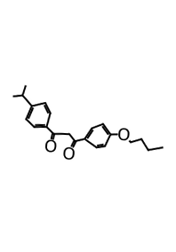 CCCCOc1ccc(C(=O)CC(=O)c2ccc(C(C)C)cc2)cc1